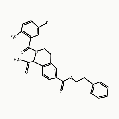 NC(=O)C1c2ccc(C(=O)OCCc3ccccc3)cc2CCN1C(=O)c1cc(F)ccc1C(F)(F)F